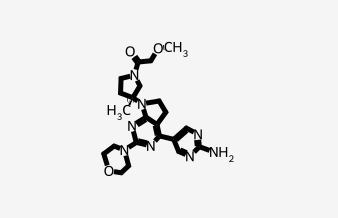 COCC(=O)N1CC[C@](C)(N2CCc3c(-c4cnc(N)nc4)nc(N4CCOCC4)nc32)C1